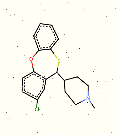 CN1CCC(C2Sc3ccccc3Oc3ccc(Cl)cc32)CC1